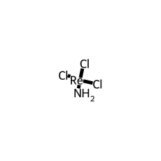 [NH2][Re]([Cl])([Cl])[Cl]